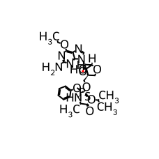 CCOc1nc(N)nc2c1ncn2[C@@H]1O[C@@]2(CO[P@@](=S)(N[C@H](C)C(=O)OC(C)C)Oc3ccccc3)CO[C@@H]1[C@@H]2O